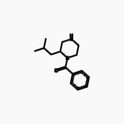 CC(C)CC1CNCCN1C(=O)c1ccccc1